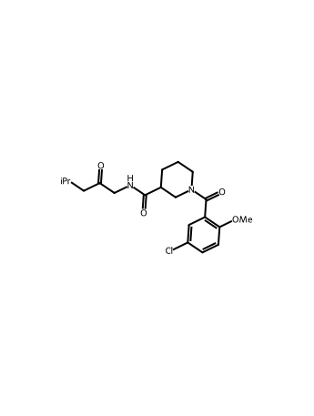 COc1ccc(Cl)cc1C(=O)N1CCCC(C(=O)NCC(=O)CC(C)C)C1